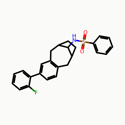 O=S(=O)(NC1C2CCC1Cc1cc(-c3ccccc3F)ccc1C2)c1ccccc1